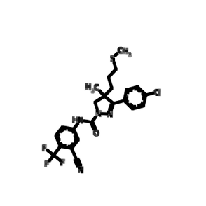 CSCCCC1(C)CN(C(=O)Nc2ccc(C(F)(F)F)c(C#N)c2)N=C1c1ccc(Cl)cc1